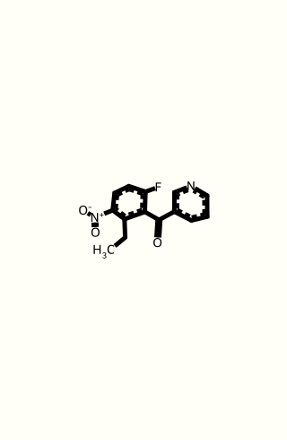 CCc1c([N+](=O)[O-])ccc(F)c1C(=O)c1cccnc1